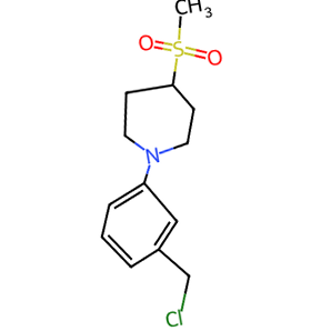 CS(=O)(=O)C1CCN(c2cccc(CCl)c2)CC1